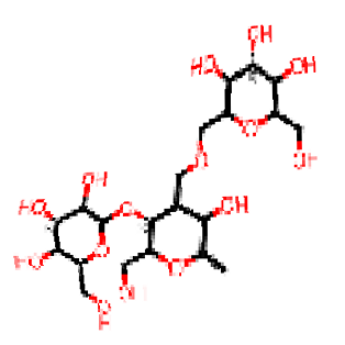 CC1OC(CO)[C@@H](OC2OC(CO)C(O)[C@@H](O)C2O)C(COCC2OC(CO)C(O)[C@@H](O)C2O)C1O